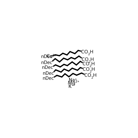 CCCCCCCCCCCCCCCCCC(=O)O.CCCCCCCCCCCCCCCCCC(=O)O.CCCCCCCCCCCCCCCCCC(=O)O.CCCCCCCCCCCCCCCCCC(=O)O.CCCCCCCCCCCCCCCCCC(=O)O.[Ca+2].[K+].[Mg+2].[Na+]